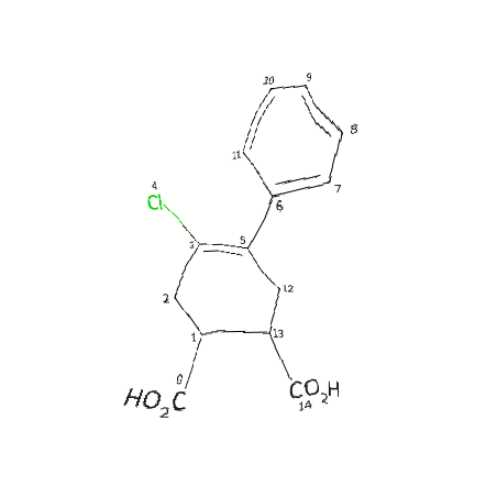 O=C(O)C1CC(Cl)=C(c2ccccc2)CC1C(=O)O